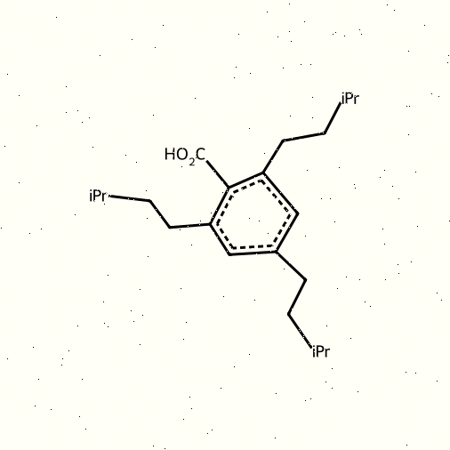 CC(C)CCc1cc(CCC(C)C)c(C(=O)O)c(CCC(C)C)c1